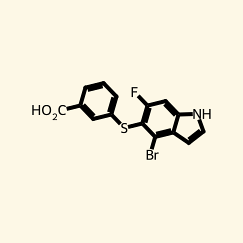 O=C(O)c1cccc(Sc2c(F)cc3[nH]ccc3c2Br)c1